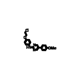 COc1ccc(-c2cnc(Nc3ccc(OCCCl)cc3)nc2)cc1